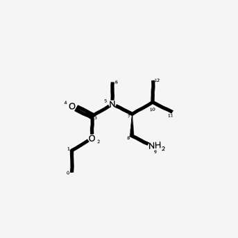 CCOC(=O)N(C)[C@H](CN)C(C)C